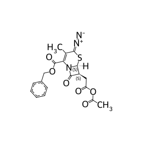 CC(=O)OC(=O)C[C@H]1C(=O)N2C(C(=O)OCc3ccccc3)=C(C)C(=[N+]=[N-])S[C@@H]12